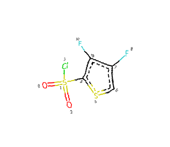 O=S(=O)(Cl)c1scc(F)c1F